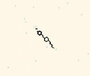 N#CC=CC=CC1CCC(CCc2ccc(OC(F)(F)F)cc2)CC1